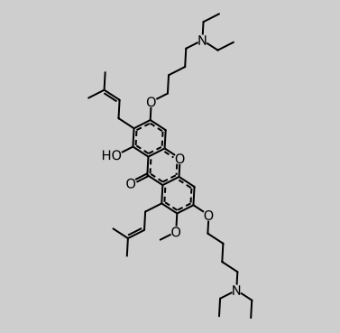 CCN(CC)CCCCOc1cc2oc3cc(OCCCCN(CC)CC)c(OC)c(CC=C(C)C)c3c(=O)c2c(O)c1CC=C(C)C